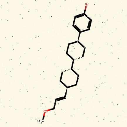 COCC=C[C@H]1CC[C@H]([C@H]2CC[C@H](c3ccc(Br)cc3)CC2)CC1